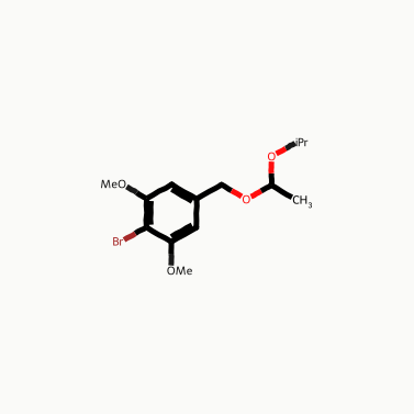 COc1cc(COC(C)OC(C)C)cc(OC)c1Br